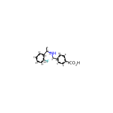 CC(NCc1ccc(C(=O)O)cc1)c1ccccc1F